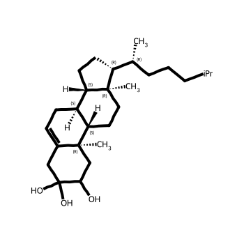 CC(C)CCC[C@@H](C)[C@H]1CC[C@H]2[C@@H]3CC=C4CC(O)(O)C(O)C[C@]4(C)[C@H]3CC[C@]12C